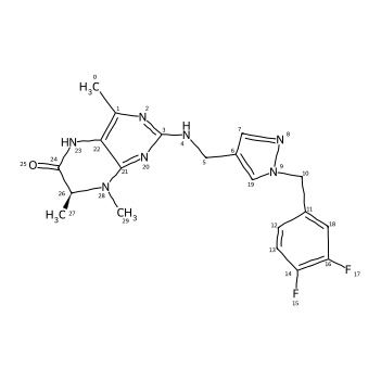 Cc1nc(NCc2cnn(Cc3ccc(F)c(F)c3)c2)nc2c1NC(=O)[C@H](C)N2C